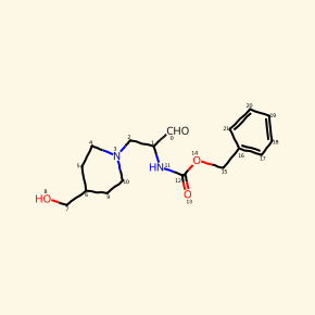 O=CC(CN1CCC(CO)CC1)NC(=O)OCc1ccccc1